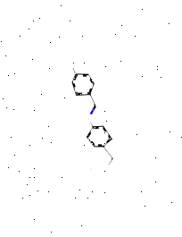 O=C(O)Cc1ccc(/N=C/c2ccc(F)cc2)cc1